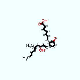 CCCC[C@H](C)C[C@H](O)C=C[C@H]1CCC(=O)[C@@H]1CCCCC=CC(=O)O